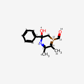 CC1=NC(O)(c2ccccc2)CS(C=O)=C1C